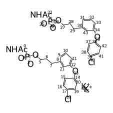 CC(=O)NP(=O)([O-])OCCCc1cccc(Oc2ccc(Cl)cc2)c1.CC(=O)NP(=O)([O-])OCCCc1cccc(Oc2ccc(Cl)cc2)c1.[K+].[K+]